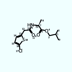 CC(C)COC(=O)[C@H](C)NC(=O)Cc1ccc(Cl)s1